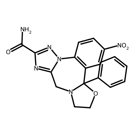 NC(=O)c1nc2n(n1)-c1ccc([N+](=O)[O-])cc1C1(c3ccccc3)OCCN1C2